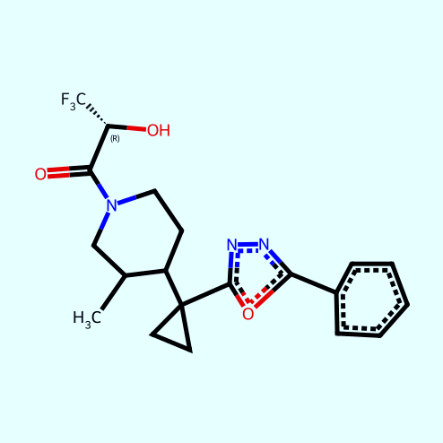 CC1CN(C(=O)[C@@H](O)C(F)(F)F)CCC1C1(c2nnc(-c3ccccc3)o2)CC1